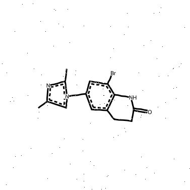 Cc1cn(-c2cc(Br)c3c(c2)CCC(=O)N3)c(C)n1